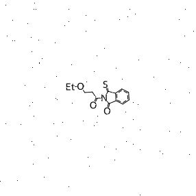 CCOCCC(=O)N1C(=O)c2ccccc2C1=S